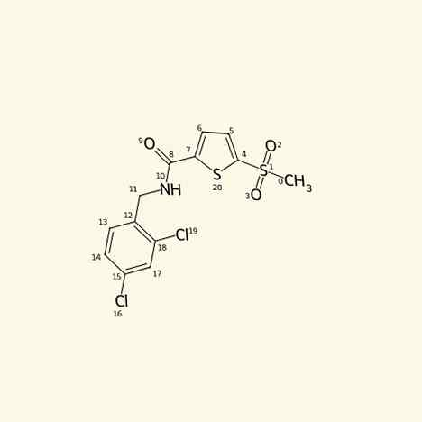 CS(=O)(=O)c1ccc(C(=O)NCc2ccc(Cl)cc2Cl)s1